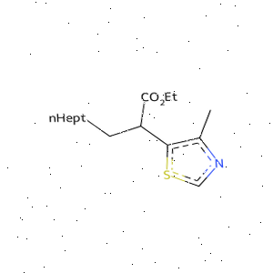 CCCCCCCCC(C(=O)OCC)c1scnc1C